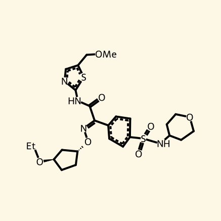 CCO[C@@H]1CC[C@@H](O/N=C(/C(=O)Nc2ncc(COC)s2)c2ccc(S(=O)(=O)NC3CCOCC3)cc2)C1